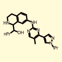 CCCC(O)C1NCCc2ccc(Nc3ncc(C)c(-c4cnn(C(C)C)c4)n3)cc21